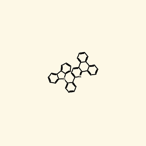 c1ccc(-n2c3ccccc3c3ccccc32)c(-c2ccc3c4ccccc4c4ccccc4c3n2)c1